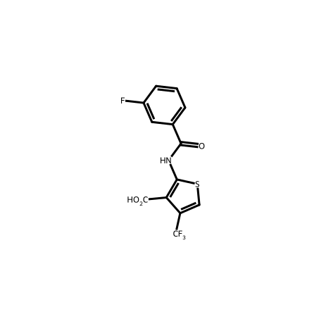 O=C(Nc1scc(C(F)(F)F)c1C(=O)O)c1cccc(F)c1